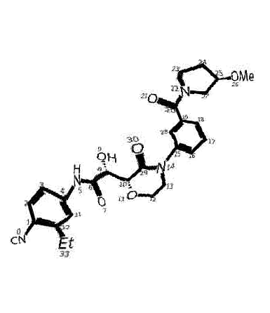 [C-]#[N+]c1ccc(NC(=O)[C@H](O)[C@H]2OCCN(c3cccc(C(=O)N4CC[C@@H](OC)C4)c3)C2=O)cc1CC